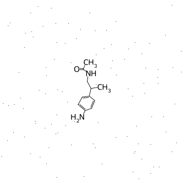 CC(=O)NCC(C)c1ccc(N)cc1